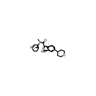 CN(C(=O)c1n[nH]c2cc(C3CCOCC3)ccc12)C1CN2CCC1CC2